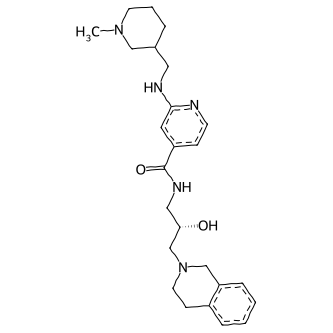 CN1CCCC(CNc2cc(C(=O)NC[C@H](O)CN3CCc4ccccc4C3)ccn2)C1